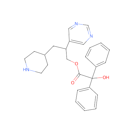 O=C(OCC(CC1CCNCC1)c1cncnc1)C(O)(c1ccccc1)c1ccccc1